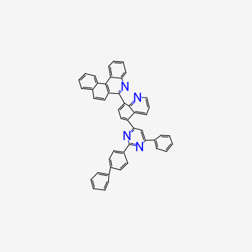 c1ccc(-c2ccc(-c3nc(-c4ccccc4)cc(-c4ccc(-c5nc6ccccc6c6c5ccc5ccccc56)c5ncccc45)n3)cc2)cc1